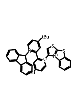 CC(C)(C)c1cc[n+](-c2csc3sc4ccccc4[n+]23)c(-c2cc(C(C)(C)C)cc[n+]2C2c3ccccc3-c3ccccc32)c1